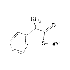 CC(C)OC(=O)C(N)c1ccccc1